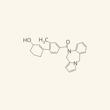 Cc1cc(C(=O)N2Cc3cccn3Cc3ccccc32)ccc1C1=CC(O)CCC1